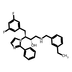 CCc1cccc(CNC[C@H](O)[C@H](Cc2cc(F)cc(F)c2)n2ccnc2-c2ccccc2)c1